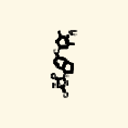 [C-]#[N+]c1c(C)cc(Oc2ccc3c(c2)CC[C@H]3C2SC(=O)NC2=O)cc1C